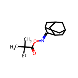 CCC(C)(C)C(=O)ON=C1C2CC3CC(C2)CC1C3